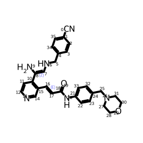 N#Cc1ccc(CN/C=C(\N)c2ccncc2/C=C/C(=O)Nc2ccc(CN3CCOCC3)cc2)cc1